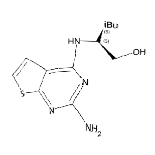 CC[C@H](C)[C@@H](CO)Nc1nc(N)nc2sccc12